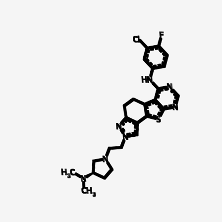 CN(C)[C@@H]1CCN(CCn2cc3c(n2)CCc2c-3sc3ncnc(Nc4ccc(F)c(Cl)c4)c23)C1